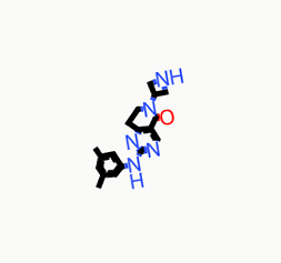 Cc1cc(C)cc(Nc2ncc3c(n2)CCN(C2CNC2)C3=O)c1